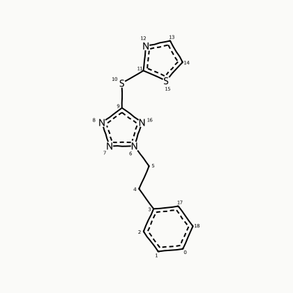 c1ccc(CCn2nnc(Sc3nccs3)n2)cc1